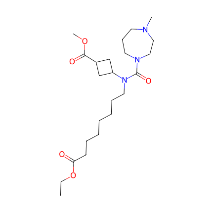 CCOC(=O)CCCCCCCN(C(=O)N1CCCN(C)CC1)C1CC(C(=O)OC)C1